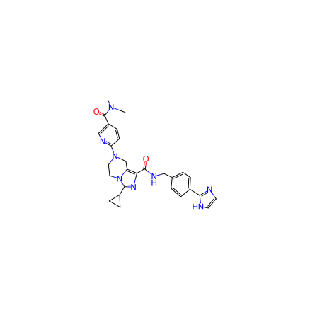 CN(C)C(=O)c1ccc(N2CCn3c(C4CC4)nc(C(=O)NCc4ccc(-c5ncc[nH]5)cc4)c3C2)nc1